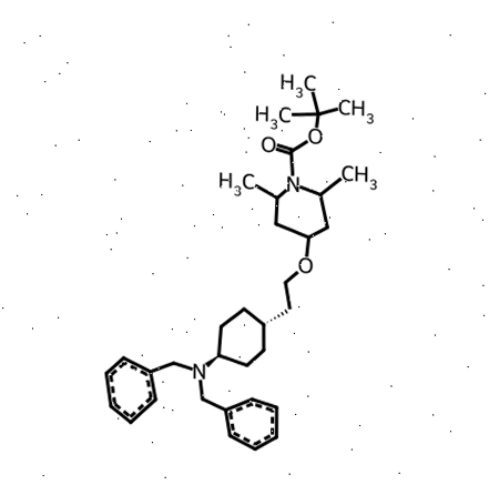 CC1CC(OCC[C@H]2CC[C@H](N(Cc3ccccc3)Cc3ccccc3)CC2)CC(C)N1C(=O)OC(C)(C)C